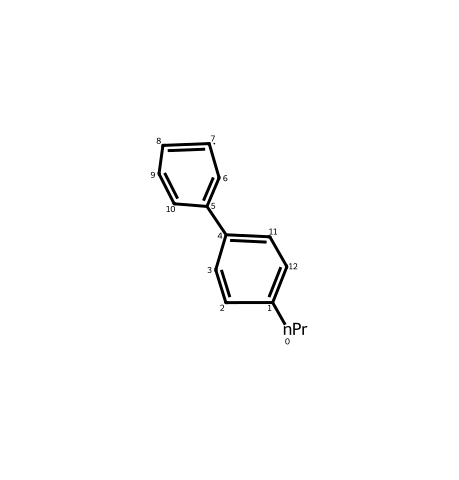 CCCc1ccc(-c2c[c]ccc2)cc1